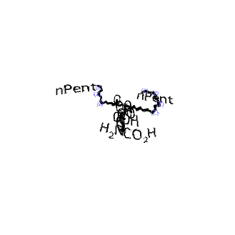 CCCCC/C=C\C/C=C\C/C=C\C/C=C\CCCCCC(=O)O[C@H](COC(=O)CCCC/C=C\C/C=C\C/C=C\CCCCC)COP(=O)(O)OC[C@H](N)C(=O)O